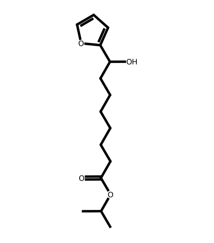 CC(C)OC(=O)CCCCCCC(O)c1ccco1